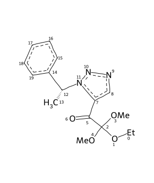 CCOC(OC)(OC)C(=O)c1cnnn1[C@H](C)c1ccccc1